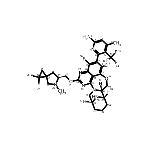 Cc1cc(N)nc(-c2c(Cl)c3c4c(nc(OC[C@@H]5CC6(CN5C)CC6(F)F)nc4c2F)N2C[C@H]4CCC[C@H](N4)[C@H]2CO3)c1C(F)(F)F